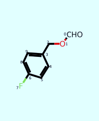 O=COCc1ccc(F)cc1